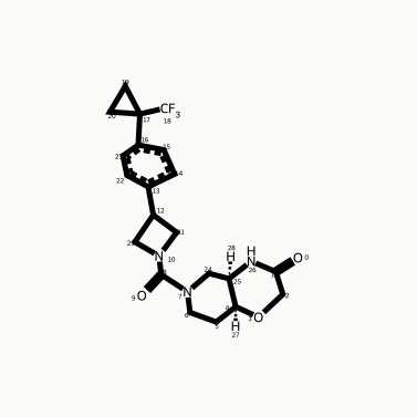 O=C1CO[C@H]2CCN(C(=O)N3CC(c4ccc(C5(C(F)(F)F)CC5)cc4)C3)C[C@H]2N1